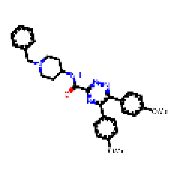 COc1ccc(-c2nnc(C(=O)NC3CCN(Cc4ccccc4)CC3)nc2-c2ccc(OC)cc2)cc1